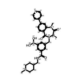 C[C@@H]1C(=O)N(C)c2cc(-c3ccncc3)ccc2C(=O)N1Cc1cc(B(O)O)cc(C(=O)NCC2CCN(C)CC2)c1